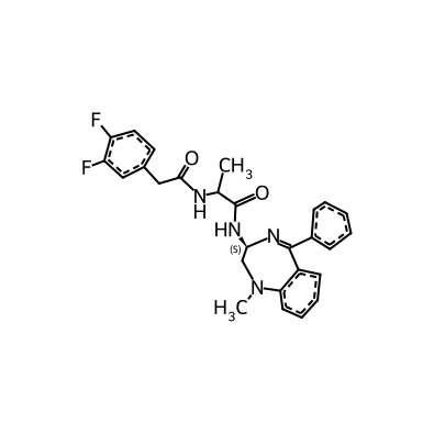 CC(NC(=O)Cc1ccc(F)c(F)c1)C(=O)N[C@@H]1CN(C)c2ccccc2C(c2ccccc2)=N1